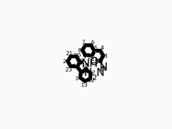 NN=c1ccc2ccccc2o1.c1ccc2c(c1)[nH]c1ccccc12